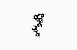 CCC(CNC(=O)c1sc(-c2ccno2)nc1C)C(=O)N[C@@H]1C(=O)N2CCCN2Cc2ccccc21